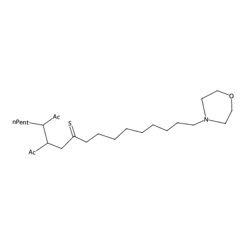 CCCCCC(C(C)=O)C(CC(=S)CCCCCCCCCN1CCOCC1)C(C)=O